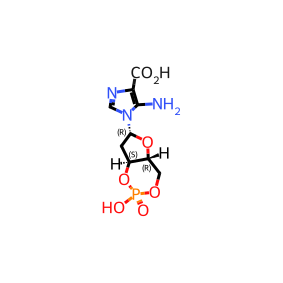 Nc1c(C(=O)O)ncn1[C@H]1C[C@@H]2OP(=O)(O)OC[C@H]2O1